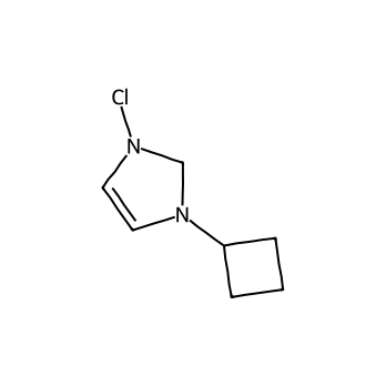 ClN1C=CN(C2CCC2)C1